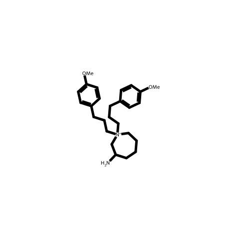 COc1ccc(CCC[N+]2(CCCc3ccc(OC)cc3)CCCCC(N)C2)cc1